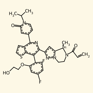 C=CC(=O)N1CCn2nc(-c3nc(-c4ccn(C(C)C)c(=O)c4)c4ccsc4c3-c3c(F)cc(F)cc3OCCO)cc2[C@H]1C